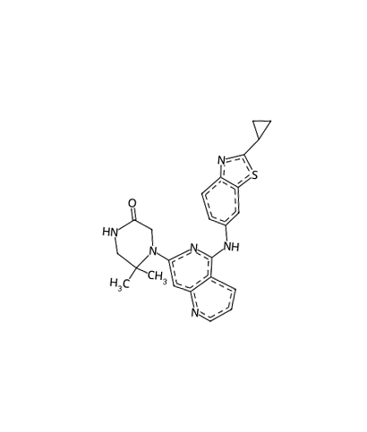 CC1(C)CNC(=O)CN1c1cc2ncccc2c(Nc2ccc3nc(C4CC4)sc3c2)n1